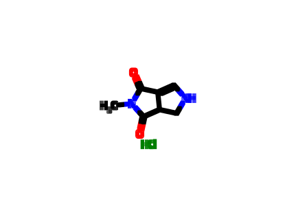 CN1C(=O)C2=CNCC2C1=O.Cl